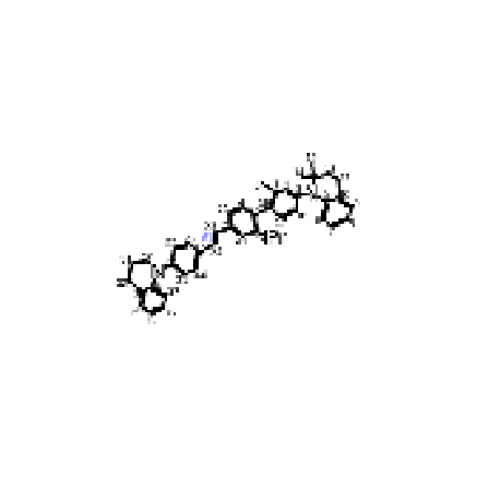 Cc1cc(N2c3ccccc3CCC2(C)C)ccc1-c1ccc(/C=C/c2ccc(N3CCCc4ccccc43)cc2)cc1C(C)C